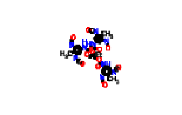 CCC(COC(=O)Nc1cc(N=C=O)c(C)c(N=C=O)c1)(COC(=O)Nc1cc(N=C=O)c(C)c(N=C=O)c1)OC(=O)Nc1cc(N=C=O)c(C)c(N=C=O)c1